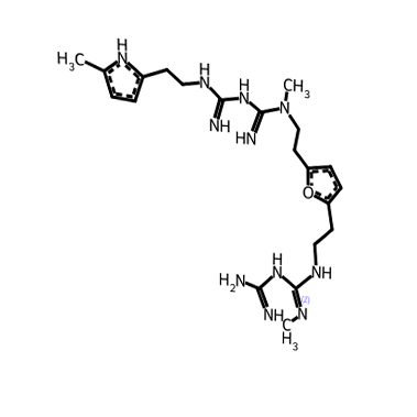 C/N=C(/NCCc1ccc(CCN(C)C(=N)NC(=N)NCCc2ccc(C)[nH]2)o1)NC(=N)N